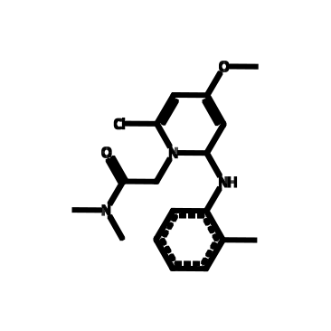 COC1=CC(Nc2ccccc2C)N(CC(=O)N(C)C)C(Cl)=C1